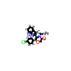 CCC[C@H](C(=O)O)N1C(=O)CO[C@@H](c2ccc(Cl)cc2)[C@H]1c1cc2ccccc2[nH]1